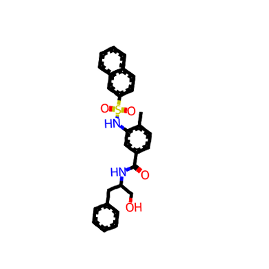 Cc1ccc(C(=O)NC(CO)Cc2ccccc2)cc1NS(=O)(=O)c1ccc2ccccc2c1